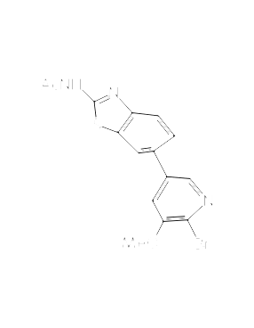 COc1cc(-c2ccc3nc(NC(C)=O)sc3c2)cnc1Br